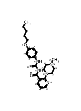 CCCCCOc1ccc(NC(=S)NC(=O)c2cccnc2N2CCN(C)CC2)cc1